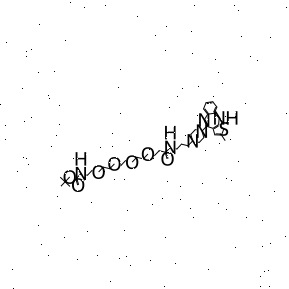 Cc1cc2c(s1)Nc1ccccc1N=C2N1CCN(CCCNC(=O)CCOCCOCCOCCOCCNC(=O)OC(C)(C)C)CC1